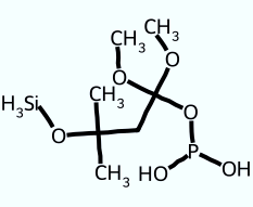 COC(CC(C)(C)O[SiH3])(OC)OP(O)O